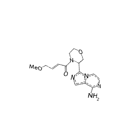 COCC=CC(=O)N1CCOCC1c1ncc2c(N)nccn12